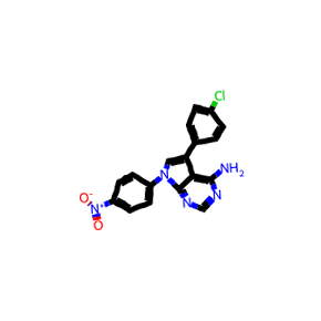 Nc1ncnc2c1c(-c1ccc(Cl)cc1)cn2-c1ccc([N+](=O)[O-])cc1